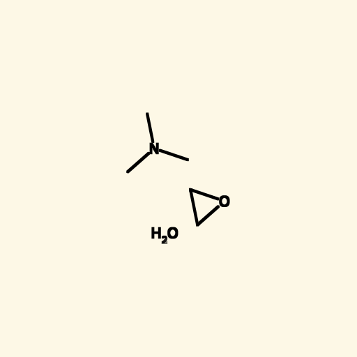 C1CO1.CN(C)C.O